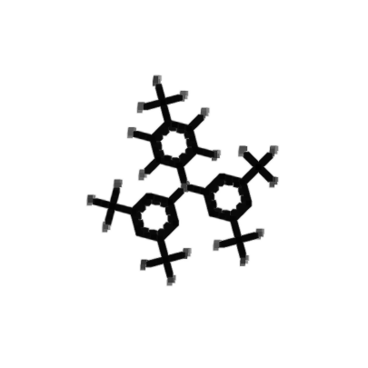 Fc1c(F)c(C(F)(F)F)c(F)c(F)c1B(c1cc(C(F)(F)F)cc(C(F)(F)F)c1)c1cc(C(F)(F)F)cc(C(F)(F)F)c1